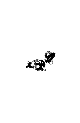 CC(C)Cc1cccc(Cl)c1COc1ccc2c(c1)OCC21CCN(CC(C)C(=O)OC(C)(C)C)CC1